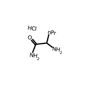 CCCC(N)C(N)=O.Cl